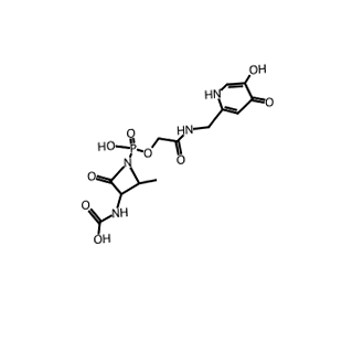 CC1C(NC(=O)O)C(=O)N1P(=O)(O)OCC(=O)NCc1cc(=O)c(O)c[nH]1